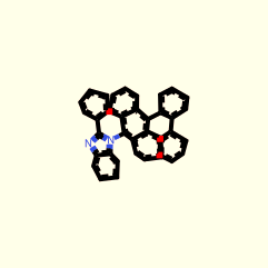 c1ccc(-c2ccccc2-c2c3ccccc3c(-n3c(-c4ccccc4)nc4ccccc43)c3ccccc23)cc1